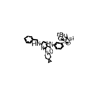 CC(C)(C)NS(=O)(=O)c1cccc(NC(=O)c2ccc(NCc3ccccc3)nc2N2CCC3(CC2)CC3)c1